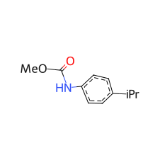 COC(=O)Nc1ccc(C(C)C)cc1